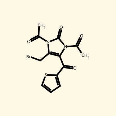 CC(=O)n1c(CBr)c(C(=O)c2cccs2)n(C(C)=O)c1=O